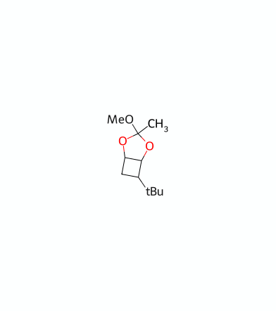 COC1(C)OC2CC(C(C)(C)C)C2O1